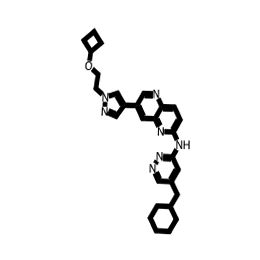 c1nnc(Nc2ccc3ncc(-c4cnn(CCOC5CCC5)c4)cc3n2)cc1CC1CCCCC1